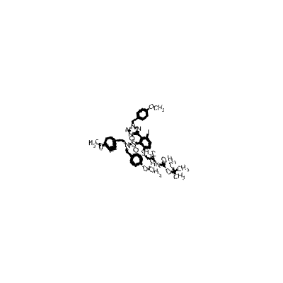 COc1ccc(CN(Cc2ccc(OC)cc2)S(=O)(=O)c2c(SCC(C)NC(=O)OC(C)(C)C)ccc(I)c2-c2nnn(Cc3ccc(OC)cc3)n2)cc1